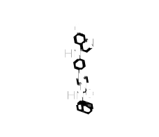 O=C(NC1C2CC3CC(C2)CC1C3)N1CCN(c2ccc(Nc3ccnc4cc(Cl)ccc34)cc2)CC1